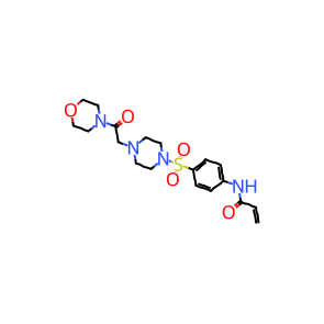 C=CC(=O)Nc1ccc(S(=O)(=O)N2CCN(CC(=O)N3CCOCC3)CC2)cc1